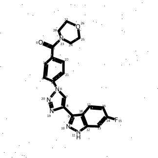 O=C(c1ccc(-n2cc(-c3n[nH]c4cc(F)ccc34)nn2)cc1)N1CCOCC1